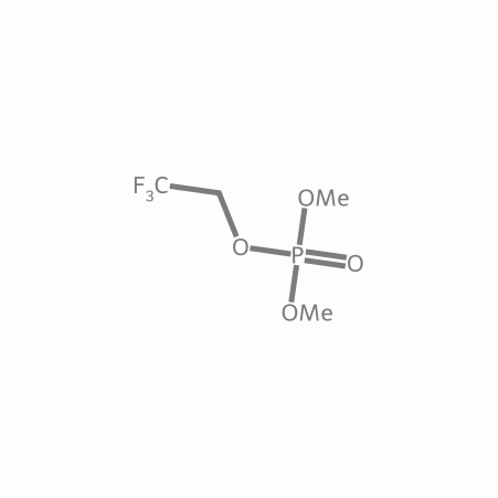 COP(=O)(OC)OCC(F)(F)F